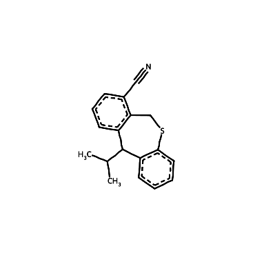 CC(C)C1c2ccccc2SCc2c(C#N)cccc21